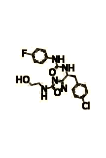 O=C(Nc1ccc(F)cc1)N[C@@H](Cc1ccc(Cl)cc1)c1noc(NCCO)n1